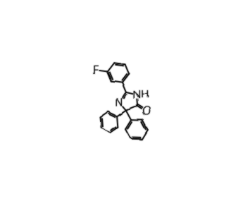 O=C1NC(c2cccc(F)c2)=NC1(c1ccccc1)c1ccccc1